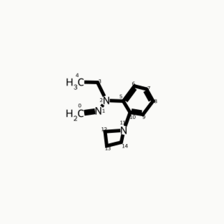 C=NN(CC)c1ccccc1N1CCC1